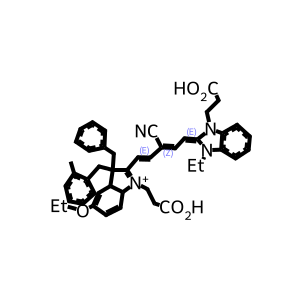 CCOC1=CC2C(C=C1)[N+](CCC(=O)O)=C(/C=C/C(C#N)=C/C=C1\N(CC)c3ccccc3N1CCC(=O)O)C2(Cc1ccccc1)Cc1ccccc1C